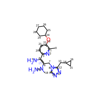 Cc1nc(/C(N)=C(\Cn2cnnc2CC2CC2)N(C)N)ccc1OC1CCCCC1